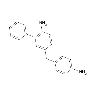 Nc1ccc(Cc2ccc(N)c(-c3ccccc3)c2)cc1